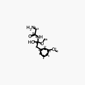 COc1cccc(CC(O)(NC(=O)CN)OC)c1